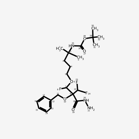 CC(C)(CCCOC(F)C(OCc1ccccc1)(C(=O)NN)C(F)F)NC(=O)OC(C)(C)C